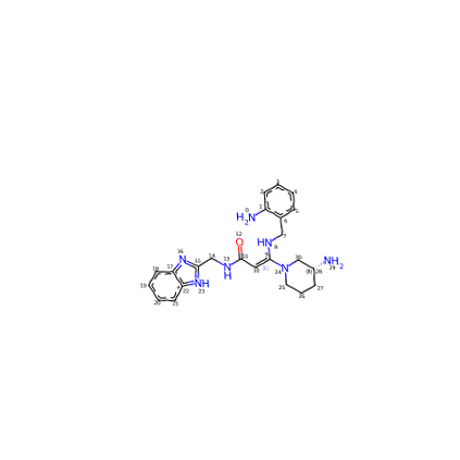 Nc1ccccc1CN/C(=C\C(=O)NCc1nc2ccccc2[nH]1)N1CCC[C@@H](N)C1